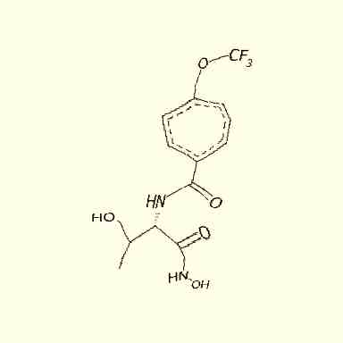 CC(O)[C@H](NC(=O)c1ccc(OC(F)(F)F)cc1)C(=O)NO